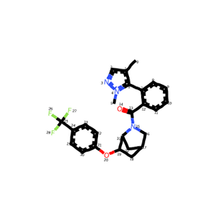 Cc1cnn(C)c1-c1ccccc1C(=O)N1CC2CC(Oc3ccc(C(F)(F)F)cc3)C1C2